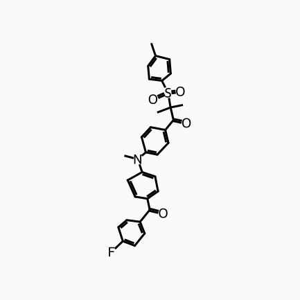 Cc1ccc(S(=O)(=O)C(C)(C)C(=O)c2ccc(N(C)c3ccc(C(=O)c4ccc(F)cc4)cc3)cc2)cc1